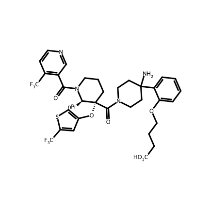 CCC[C@H]1N(C(=O)c2cnccc2C(F)(F)F)CCC[C@@]1(Oc1csc(C(F)(F)F)c1)C(=O)N1CCC(N)(c2ccccc2OCCCC(=O)O)CC1